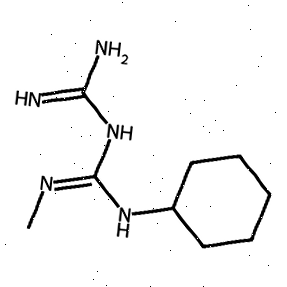 C/N=C(/NC(=N)N)NC1CCCCC1